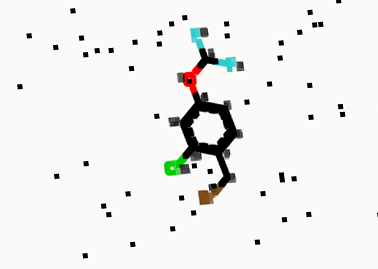 FC(F)Oc1ccc(CBr)c(Cl)c1